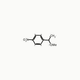 [CH2]C(OC)c1ccc([N+](=O)[O-])cc1